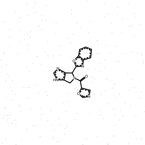 O=C(c1cnco1)N1Cc2[nH]cnc2C1c1nc2ccccc2o1